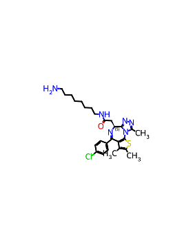 Cc1sc2c(c1C)C(c1ccc(Cl)cc1)=N[C@@H](CC(=O)NCCCCCCCCN)c1nnc(C)n1-2